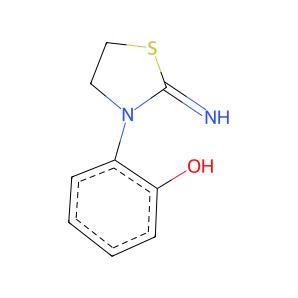 N=C1SCCN1c1ccccc1O